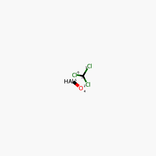 ClC(Cl)Cl.[O]=[AlH]